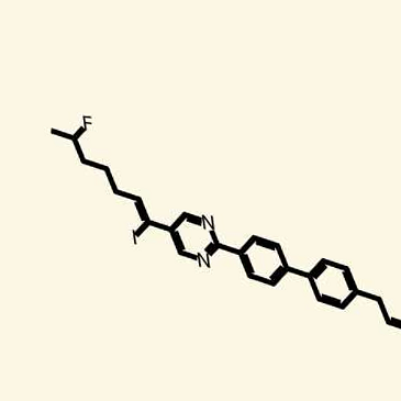 C=CCc1ccc(-c2ccc(-c3ncc(C(I)=CCCCC(C)F)cn3)cc2)cc1